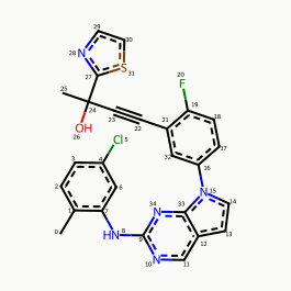 Cc1ccc(Cl)cc1Nc1ncc2ccn(-c3ccc(F)c(C#CC(C)(O)c4nccs4)c3)c2n1